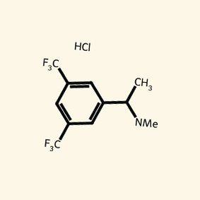 CNC(C)c1cc(C(F)(F)F)cc(C(F)(F)F)c1.Cl